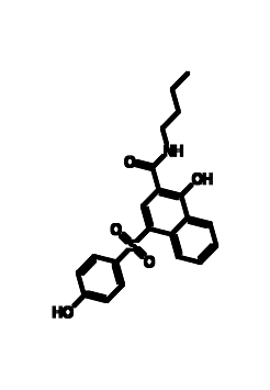 CCCCNC(=O)c1cc(S(=O)(=O)c2ccc(O)cc2)c2ccccc2c1O